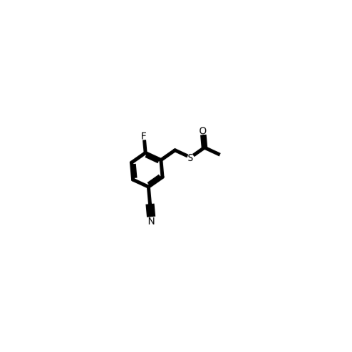 CC(=O)SCc1cc(C#N)ccc1F